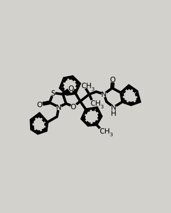 Cc1ccc(C(OC2C(=O)SC(=O)N2Cc2ccccc2)(c2ccccc2)C(C)(C)CN2CNc3ccccc3C2=O)cc1